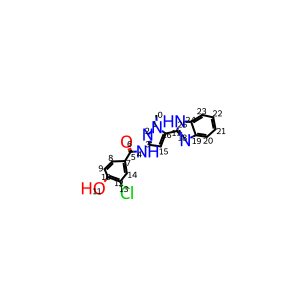 Cn1nc(NC(=O)c2ccc(O)c(Cl)c2)cc1-c1nc2ccccc2[nH]1